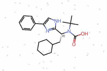 CC(C)(C)N(C(=O)O)[C@H](CC1CCCCC1)c1nc(-c2ccccc2)c[nH]1